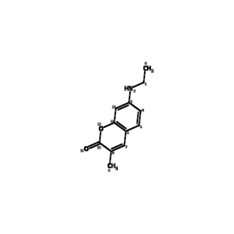 CCNc1ccc2cc(C)c(=O)oc2c1